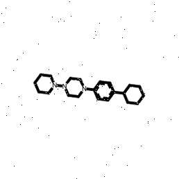 c1cc(N2CCN(N3CCCCC3)CC2)ccc1C1CCCCC1